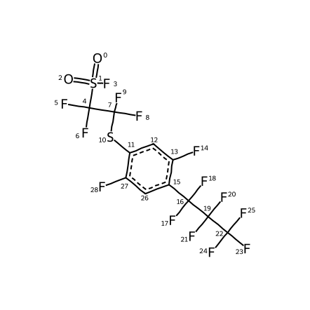 O=S(=O)(F)C(F)(F)C(F)(F)Sc1cc(F)c(C(F)(F)C(F)(F)C(F)(F)F)cc1F